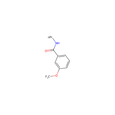 CCCNC(=O)c1cccc(OC(F)(F)F)c1